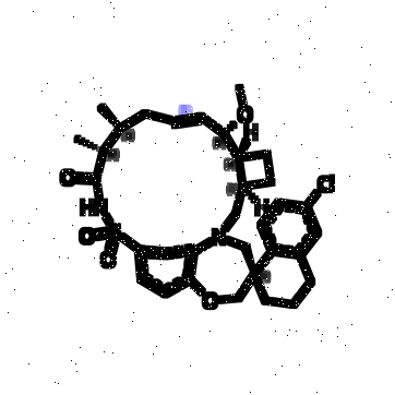 CO[C@H]1/C=C/C[C@H](C)[C@@H](C)C(=O)NS(=O)(=O)c2ccc3c(c2)N(C[C@@H]2CC[C@H]21)C[C@@]1(CCCc2cc(Cl)ccc21)CO3